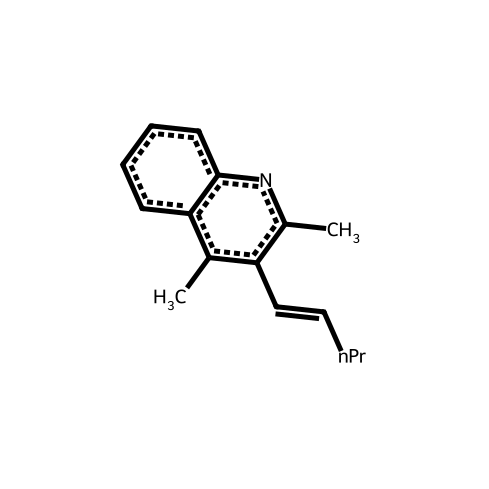 CCC/C=C/c1c(C)nc2ccccc2c1C